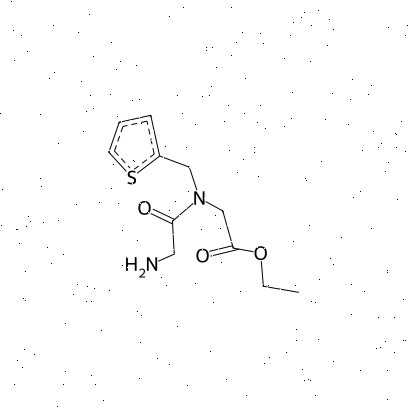 CCOC(=O)CN(Cc1cccs1)C(=O)CN